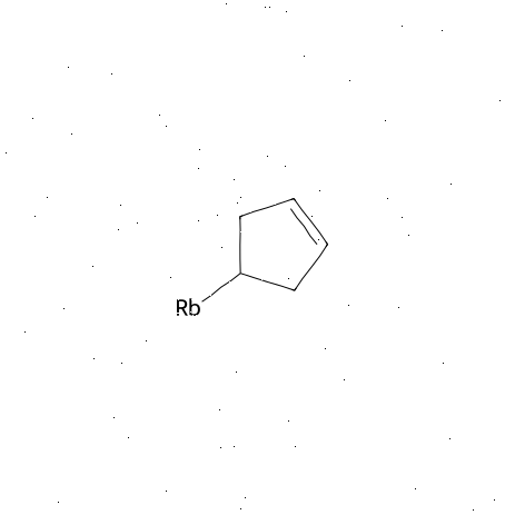 [Rb][CH]1CC=CC1